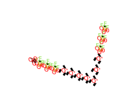 CC[O+](CC)CC.CC[O+](CC)CC.CC[O+](CC)CC.CC[O+](CC)CC.CC[O+](CC)CC.CC[O+](CC)CC.CC[O+](CC)CC.O=S(=O)([O-])C(F)(F)F.O=S(=O)([O-])C(F)(F)F.O=S(=O)([O-])C(F)(F)F.O=S(=O)([O-])C(F)(F)F.O=S(=O)([O-])C(F)(F)F.O=S(=O)([O-])C(F)(F)F.[O]=[Ta](=[O])[O-]